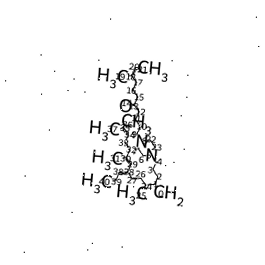 C=C(CCCN1CCN(CCCCC(=O)CCC/C(C)=C\C)CC1)C(C)CCC(/C=C(\C)CCC=C(C)C)=C\CC